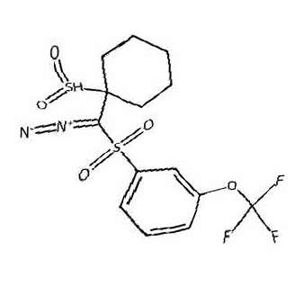 [N-]=[N+]=C(C1([SH](=O)=O)CCCCC1)S(=O)(=O)c1cccc(OC(F)(F)F)c1